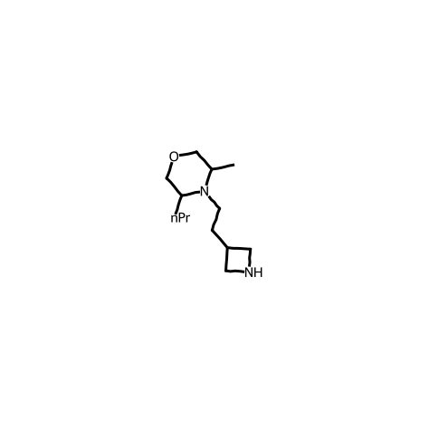 CCCC1COCC(C)N1CCC1CNC1